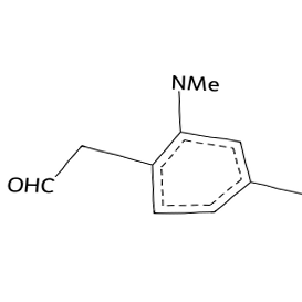 CNc1cc(F)ccc1CC=O